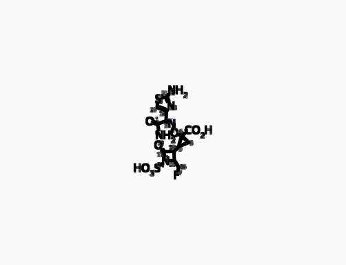 NC(=O)/C(=N\OC1(C(=O)O)CC1C1C(=O)N(S(=O)(=O)O)C1CF)c1csc(N)n1